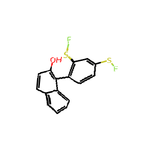 Oc1ccc2ccccc2c1-c1ccc(SF)cc1SF